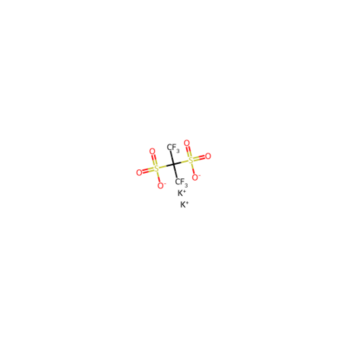 O=S(=O)([O-])C(C(F)(F)F)(C(F)(F)F)S(=O)(=O)[O-].[K+].[K+]